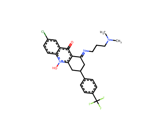 CN(C)CCCN=C1CC(c2ccc(C(F)(F)F)cc2)Cc2c1c(=O)c1cc(Cl)ccc1n2O